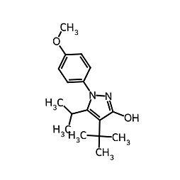 COc1ccc(-n2nc(O)c(C(C)(C)C)c2C(C)C)cc1